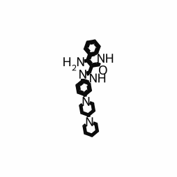 Nc1c(-c2nc3ccc(N4CCC(N5CCCCC5)CC4)cc3[nH]2)c(=O)[nH]c2ccccc12